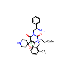 COCC[N@@+]1(Cc2c(F)cccc2C(F)(F)F)C(=O)N(CC(N)c2ccccc2)C(=O)C2=C1COC21CCNCC1